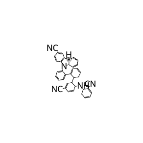 N#CC1=CC(C2CC=CC=C2c2ccccc2N2c3ccc(C#N)cc3[C@H]3C=CC=CC32)C(NC2CC=CC=C2C#N)C=C1